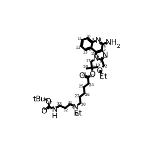 CCOCc1nc2c(N)nc3ccccc3c2n1CC(C)(C)OC(=O)CCCCCN(CC)CCCNC(=O)OC(C)(C)C